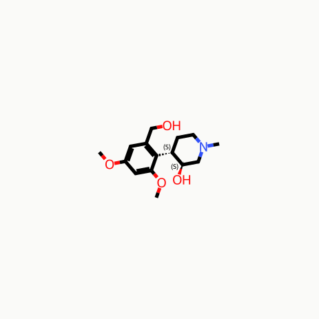 COc1cc(CO)c([C@@H]2CCN(C)C[C@H]2O)c(OC)c1